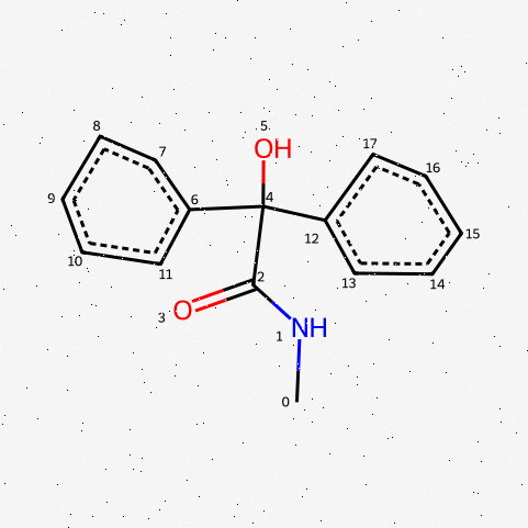 CNC(=O)C(O)(c1ccccc1)c1ccccc1